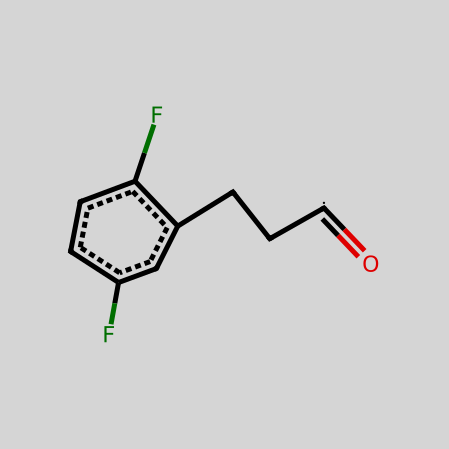 O=[C]CCc1cc(F)ccc1F